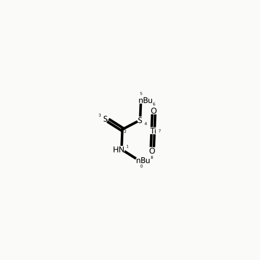 CCCCNC(=S)SCCCC.[O]=[Ti]=[O]